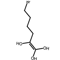 OC(O)=C(O)CCCCBr